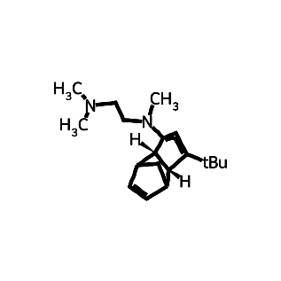 CN(C)CCN(C)C1=C=C(C(C)(C)C)[C@@H]2C3C=CC(C3)[C@H]12